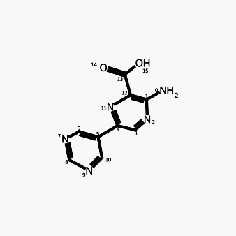 Nc1ncc(-c2cncnc2)nc1C(=O)O